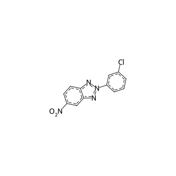 O=[N+]([O-])c1ccc2nn(-c3cccc(Cl)c3)nc2c1